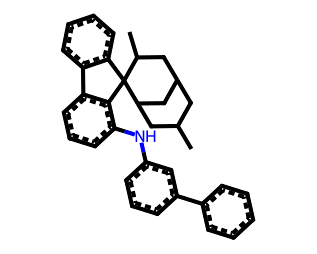 CC1CC2CC(C)C3(c4ccccc4-c4cccc(Nc5cccc(-c6ccccc6)c5)c43)C(C1)C2